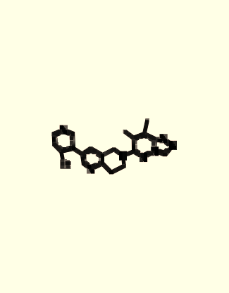 CCc1ccncc1-c1cnc2c(c1)CN(c1nn3cnnc3c(C)c1C)CC2